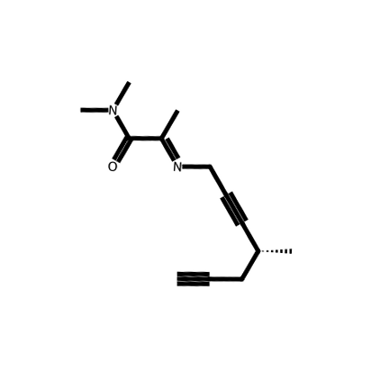 C#CC[C@@H](C)C#CC/N=C(\C)C(=O)N(C)C